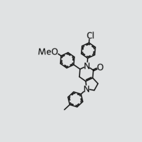 COc1ccc(C2CC3=C(CCN3c3ccc(C)cc3)C(=O)N2c2ccc(Cl)cc2)cc1